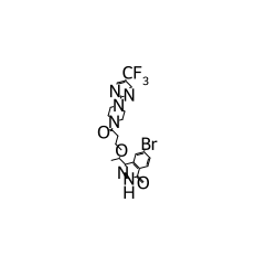 CC(OCCC(=O)N1CCN(c2ncc(C(F)(F)F)cn2)CC1)c1n[nH]c(=O)c2ccc(Br)cc12